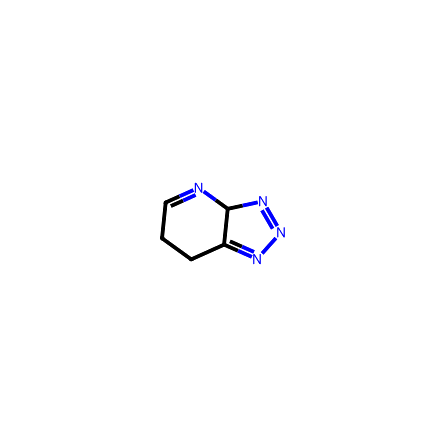 C1=NC2N=NN=C2CC1